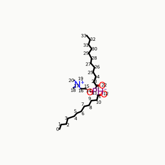 CCCCCCCCCCCC(=O)[PH-](OCC[N+](C)(C)C)C(=O)CCCCCCCCCCC